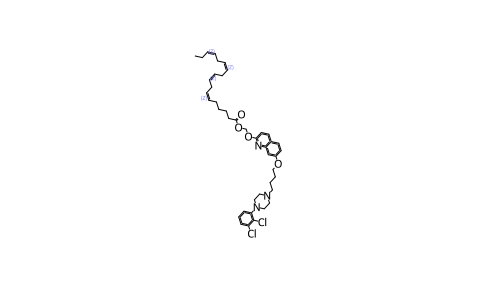 CC/C=C\C/C=C\C/C=C\C/C=C\CCCCC(=O)OCOc1ccc2ccc(OCCCCN3CCN(c4cccc(Cl)c4Cl)CC3)cc2n1